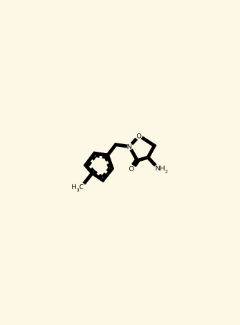 Cc1ccc(CN2OCC(N)C2=O)cc1